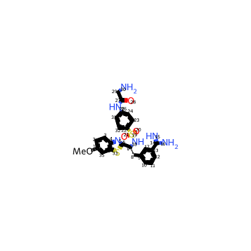 COc1ccc2nc([C@@H](Cc3cccc(C(=N)N)c3)NS(=O)(=O)c3ccc(NC(=O)CN)cc3)sc2c1